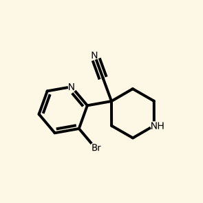 N#CC1(c2ncccc2Br)CCNCC1